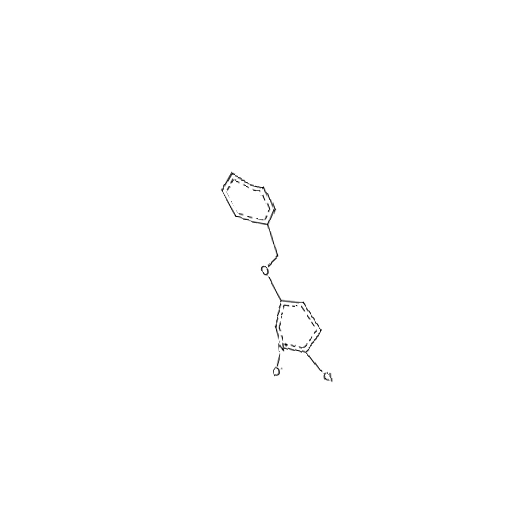 [O-][n+]1cc(OCc2ccccc2)ccc1Cl